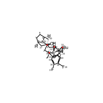 CN(CC(=O)N1[C@@H]2CC[C@H]1C[C@H]([C@@H](Cc1cc(F)c(F)cc1F)N[S+]([O-])C(C)(C)C)C2)S(=O)(=O)C1CC1